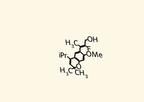 COc1cc2c(cc1C(C)=C(F)CO)C(C(C)C)=CC(C)(C)O2